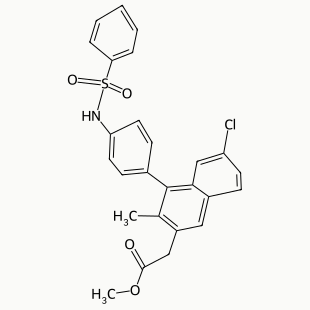 COC(=O)Cc1cc2ccc(Cl)cc2c(-c2ccc(NS(=O)(=O)c3ccccc3)cc2)c1C